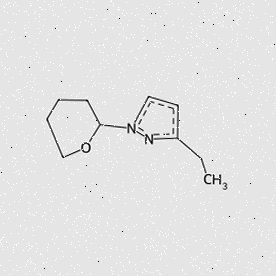 CCc1ccn(C2CCCCO2)n1